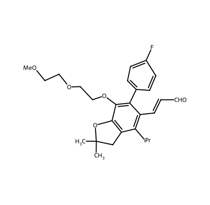 COCCOCCOc1c2c(c(C(C)C)c(/C=C/C=O)c1-c1ccc(F)cc1)CC(C)(C)O2